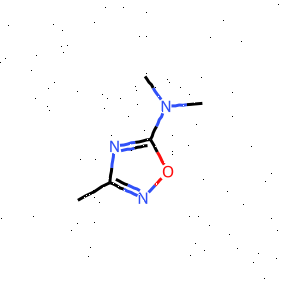 Cc1noc(N(C)C)n1